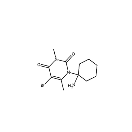 Cc1c(Br)c(=O)n(C)c(=O)n1C1(N)CCCCC1